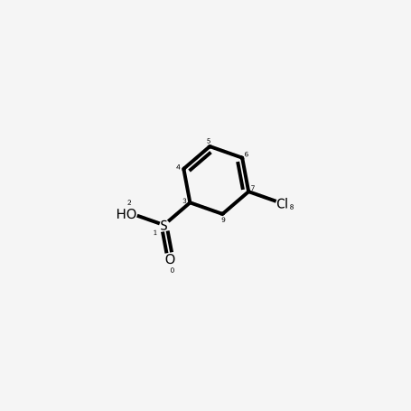 O=S(O)C1C=CC=C(Cl)C1